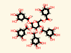 O=C(OCC1OC(OC(=O)c2cc(O)c(O)c(O)c2)C(OC(=O)c2cc(O)c(O)c(O)c2)C(OC(O)c2cc(O)c(O)c(O)c2)C1OC(=O)c1cc(O)c(O)c(O)c1)c1cc(O)c(O)c(O)c1